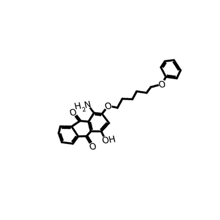 Nc1c(OCCCCCCOc2ccccc2)cc(O)c2c1C(=O)c1ccccc1C2=O